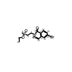 CCOP(C)(=O)CCn1ncc2cc(Br)ccc2c1=O